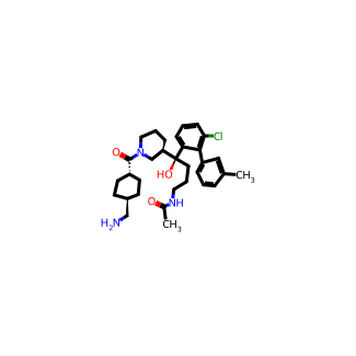 CC(=O)NCCC[C@@](O)(c1cccc(Cl)c1-c1cccc(C)c1)[C@@H]1CCCN(C(=O)[C@H]2CC[C@H](CN)CC2)C1